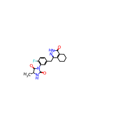 C[C@@H]1NC(=O)N(c2cc(Cc3n[nH]c(=O)c4c3CCCC4)ccc2F)C1=O